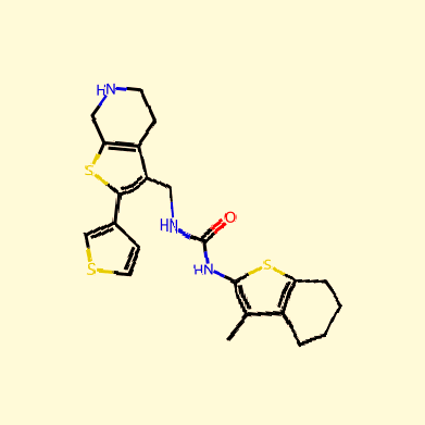 Cc1c(NC(=O)NCc2c(-c3ccsc3)sc3c2CCNC3)sc2c1CCCC2